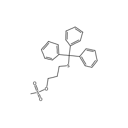 CS(=O)(=O)OCCCSC(c1ccccc1)(c1ccccc1)c1ccccc1